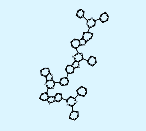 c1ccc(-c2cc(-c3ccc4c(c3)sc3cccc(-c5nc(-c6cccc(-c7ccc8c(c7)oc7c(-c9ccccc9)nc(-c9cccc%10c9sc9ccc(-c%11cc(-c%12ccccc%12)nc(-c%12ccccc%12)n%11)cc9%10)nc78)c6)c6oc7ccccc7c6n5)c34)nc(-c3ccccc3)n2)cc1